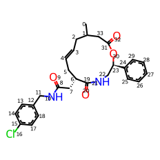 CC1C/C=C/C[C@@H](CC(=O)NCc2ccc(Cl)cc2)C(=O)NC[C@H](c2ccccc2)OC(=O)C1